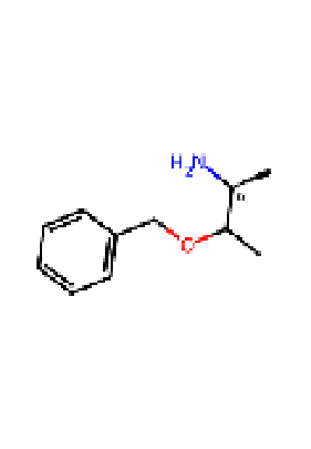 CC(OCc1ccccc1)[C@H](C)N